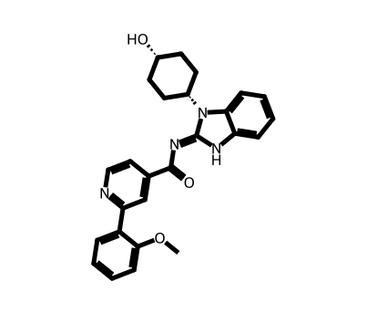 COc1ccccc1-c1cc(C(=O)/N=c2\[nH]c3ccccc3n2[C@H]2CC[C@@H](O)CC2)ccn1